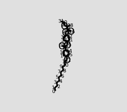 CCCCCCCCCCCCOc1ccc(C(=O)Oc2ccc(OC(=O)C(C)OCC)cc2)cc1